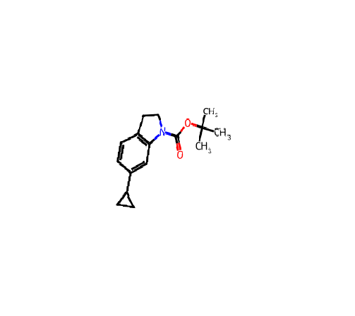 CC(C)(C)OC(=O)N1CCc2ccc(C3CC3)cc21